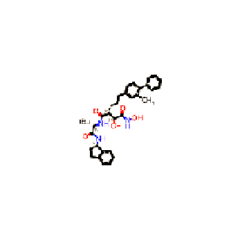 Cc1cc(CCC[C@@H](C(=O)N[C@H](C(=O)N[C@@H]2CCc3ccccc32)C(C)(C)C)[C@H](O)C(=O)NO)ccc1-c1ccccc1